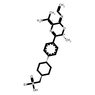 C=C/N=C1/O[C@H](C)C(c2ccc([C@H]3CC[C@H](CP(=O)(O)CC)CC3)cc2)=N/C1=C(/C)N